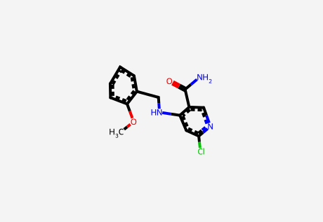 COc1ccccc1CNc1cc(Cl)ncc1C(N)=O